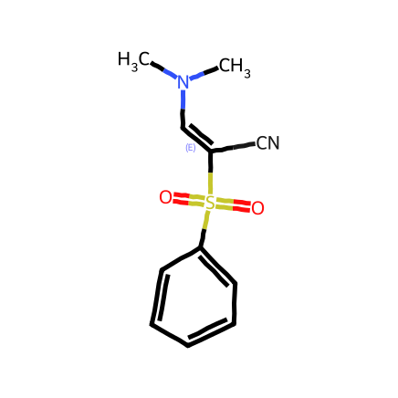 CN(C)/C=C(\C#N)S(=O)(=O)c1ccccc1